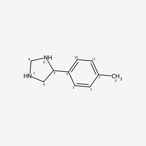 Cc1ccc(C2CNCN2)cc1